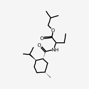 CCC(NC(=O)[C@@H]1C[C@H](C)CC[C@H]1C(C)C)C(=O)OCC(C)C